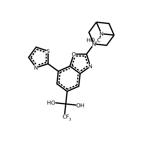 O=C(O)N1C2CC1CN(c1nc3cc(C(O)(O)C(F)(F)F)cc(-c4nccs4)c3o1)C2